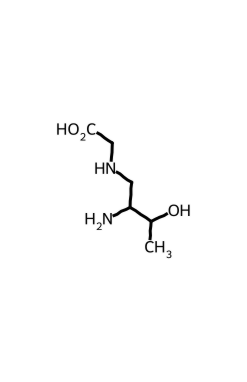 CC(O)C(N)CNCC(=O)O